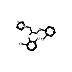 Clc1ccccc1SCC(Cn1ccnc1)Sc1c(Cl)cccc1Cl